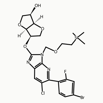 C[Si](C)(C)CCOCn1c(O[C@@H]2CO[C@H]3[C@@H]2OC[C@H]3O)nc2cc(Cl)c(-c3ccc(Br)cc3F)nc21